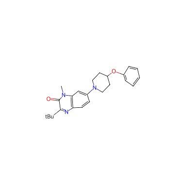 Cn1c(=O)c(C(C)(C)C)nc2ccc(N3CCC(Oc4ccccc4)CC3)cc21